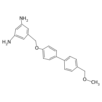 COCc1ccc(-c2ccc(OCc3cc(N)cc(N)c3)cc2)cc1